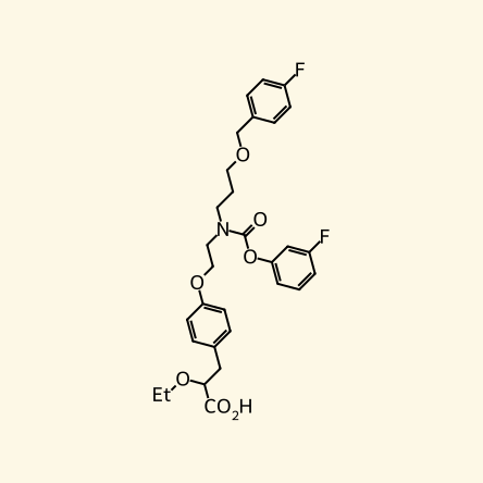 CCOC(Cc1ccc(OCCN(CCCOCc2ccc(F)cc2)C(=O)Oc2cccc(F)c2)cc1)C(=O)O